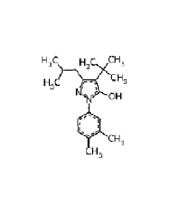 Cc1ccc(-n2nc(CC(C)C)c(C(C)(C)C)c2O)cc1C